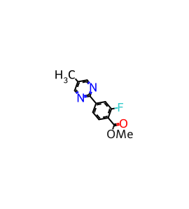 COC(=O)c1ccc(-c2ncc(C)cn2)cc1F